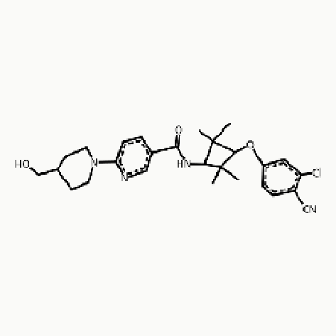 CC1(C)C(NC(=O)c2ccc(N3CCC(CO)CC3)nc2)C(C)(C)C1Oc1ccc(C#N)c(Cl)c1